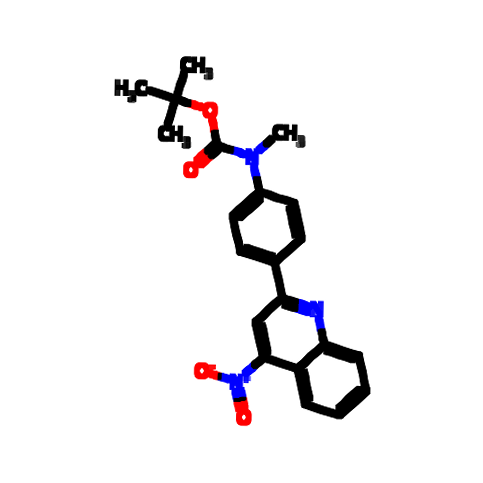 CN(C(=O)OC(C)(C)C)c1ccc(-c2cc([N+](=O)[O-])c3ccccc3n2)cc1